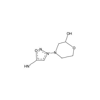 [NH-]c1c[n+](N2CCOC(O)C2)no1